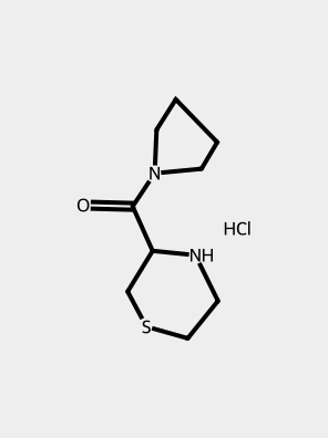 Cl.O=C(C1CSCCN1)N1CCCC1